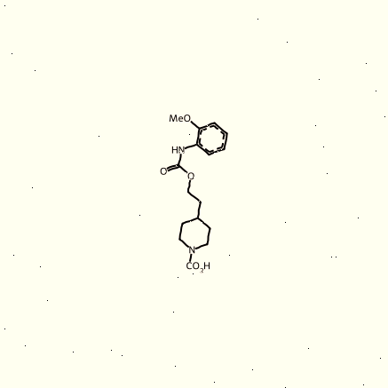 COc1ccccc1NC(=O)OCCC1CCN(C(=O)O)CC1